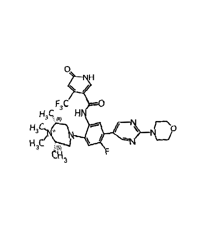 C[C@@H]1CN(c2cc(F)c(-c3cnc(N4CCOCC4)nc3)cc2NC(=O)c2c[nH]c(=O)cc2C(F)(F)F)C[C@H](C)[N+]1(C)C